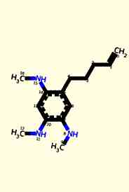 C=CCCCc1cc(NC)c(NC)cc1NC